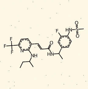 CCC(C)Nc1nc(C(F)(F)F)ccc1/C=C/C(=O)NC(C)c1ccc(NS(C)(=O)=O)c(F)c1